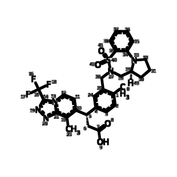 Cc1ccc([C@H](CC(=O)O)c2ccn3c(C(F)(F)F)nnc3c2C)cc1CN1C[C@@H]2CCCN2c2ccccc2S1(=O)=O